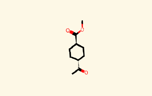 COC(=O)[C@H]1CC[C@H](C(C)=O)CC1